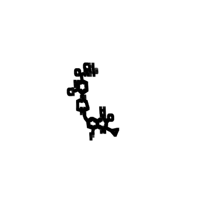 CNC(=O)c1ccc(N2CCN(Cc3cc(F)c4nc(C5CC5)c(=O)[nH]c4c3)CC2)c(Cl)n1